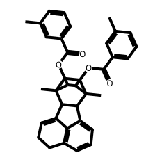 Cc1cccc(C(=O)OC2C(OC(=O)c3cccc(C)c3)C3(C)CCC2(C)C2C4=CCCc5cccc(c54)C23)c1